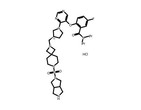 CC(C)N(C(=O)c1cc(F)ccc1Oc1cncnc1N1CC[C@@H](CN2CC3(CCN(S(=O)(=O)N4CC5CNCC5C4)CC3)C2)C1)C(C)C.Cl